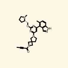 CC#CC(=O)N1CC2(CCN(c3cc(-c4c(C)ccc5[nH]ncc45)nc(OC[C@@H]4CCCN4C)n3)C2)C1